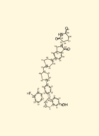 Cc1cc([C@H]2OCc3cc(O)ccc3[C@H]2c2ccc(N3CCC(CN4CCN(c5ccc6c(c5)CN([C@H]5CCC(=O)NC5=O)C6=O)CC4)CC3)cc2)ccc1F